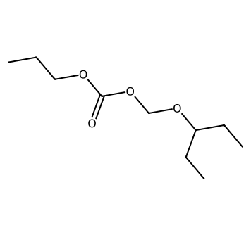 CCCOC(=O)OCOC(CC)CC